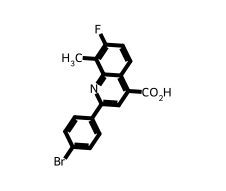 Cc1c(F)ccc2c(C(=O)O)cc(-c3ccc(Br)cc3)nc12